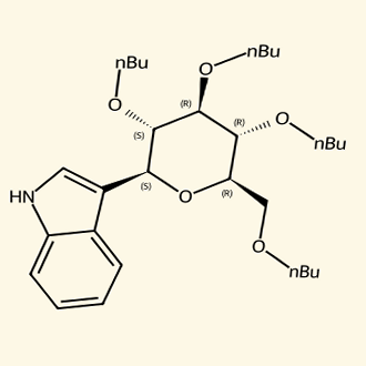 CCCCOC[C@H]1O[C@@H](c2c[nH]c3ccccc23)[C@H](OCCCC)[C@@H](OCCCC)[C@@H]1OCCCC